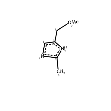 COCc1cnc(C)[nH]1